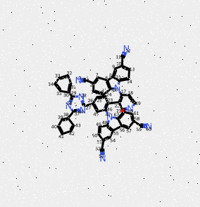 N#Cc1ccc2c(c1)c1cc(C#N)ccc1n2-c1ccncc1-c1ccc(-c2nc(-c3ccccc3)nc(-c3ccccc3)n2)cc1-n1c2ccc(C#N)cc2c2cc(C#N)ccc21